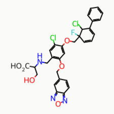 O=C(O)C(CO)NCc1cc(Cl)c(OCC2(F)C=CC=C(c3ccccc3)C2Cl)cc1OCc1ccc2nonc2c1